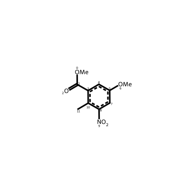 COC(=O)c1cc(OC)cc([N+](=O)[O-])c1C